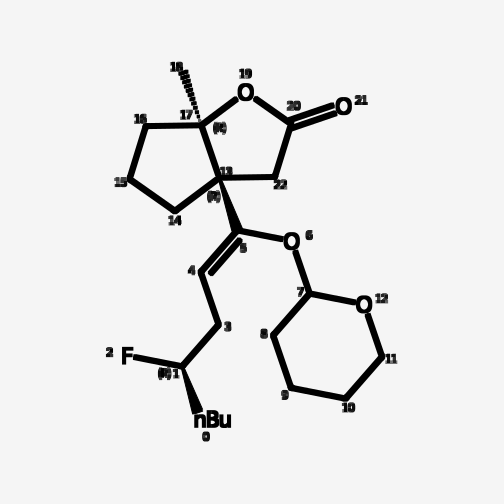 CCCC[C@@H](F)CC=C(OC1CCCCO1)[C@@]12CCC[C@@]1(C)OC(=O)C2